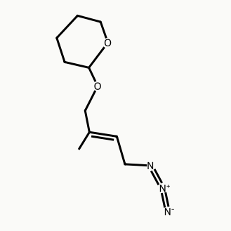 CC(=CCN=[N+]=[N-])COC1CCCCO1